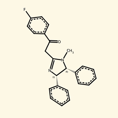 CN1C(CC(=O)c2ccc(F)cc2)=N[C@@H](c2ccccc2)[C@H]1c1ccccc1